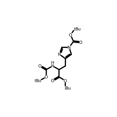 CCC(C)OC(=O)C(Cc1cn(C(=O)OC(C)(C)C)cn1)NC(=O)OC(C)(C)C